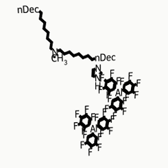 CCCCCCCCCCCCCCCCCCN(C)CCCCCCCCCCCCCCCCCC.Fc1c(F)c(F)[c]([Al]([c]2c(F)c(F)c(F)c(F)c2F)[c]2c(F)c(F)c(F)c(F)c2F)c(F)c1F.Fc1c(F)c(F)[c]([Al]([c]2c(F)c(F)c(F)c(F)c2F)[c]2c(F)c(F)c(F)c(F)c2F)c(F)c1F.c1c[nH]cn1